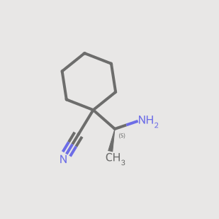 C[C@H](N)C1(C#N)CCCCC1